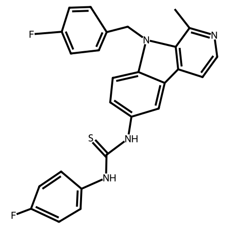 Cc1nccc2c3cc(NC(=S)Nc4ccc(F)cc4)ccc3n(Cc3ccc(F)cc3)c12